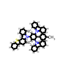 Cc1ccc(-c2c(-n3c4ccccc4c4ccccc43)c(C#N)c(-n3c4ccccc4c4c5sc6ccccc6c5ccc43)c(C#N)c2-n2c3ccccc3c3ccccc32)cc1